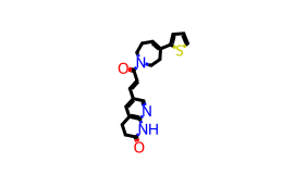 O=C1CCc2cc(/C=C/C(=O)N3CCC=C(c4cccs4)CC3)cnc2N1